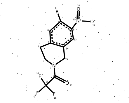 O=C(N1CCc2cc(Br)c([N+](=O)[O-])cc2C1)C(F)(F)F